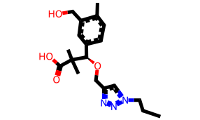 CCCn1cc(CO[C@H](c2ccc(C)c(CO)c2)C(C)(C)C(=O)O)nn1